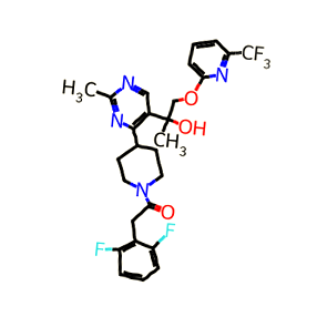 Cc1ncc(C(C)(O)COc2cccc(C(F)(F)F)n2)c(C2CCN(C(=O)Cc3c(F)cccc3F)CC2)n1